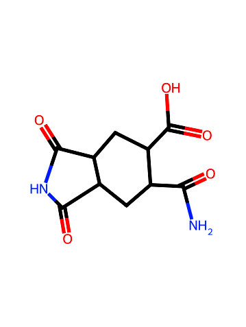 NC(=O)C1CC2C(=O)NC(=O)C2CC1C(=O)O